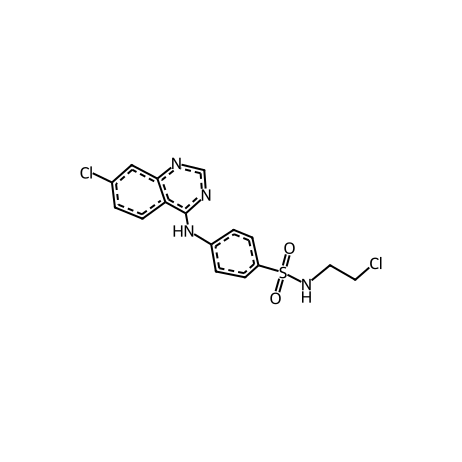 O=S(=O)(NCCCl)c1ccc(Nc2ncnc3cc(Cl)ccc23)cc1